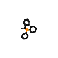 CC(c1ccccc1)P(C1CCCCC1)C1CCCCC1